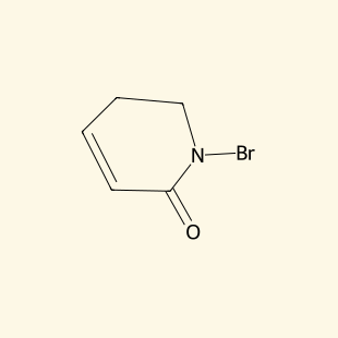 O=C1C=CCCN1Br